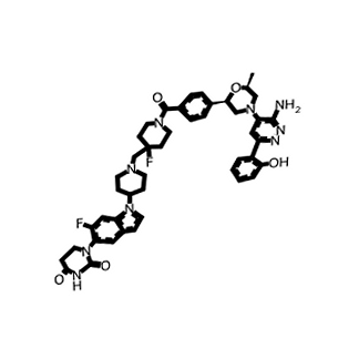 C[C@H]1CN(c2cc(-c3ccccc3O)nnc2N)C[C@@H](c2ccc(C(=O)N3CCC(F)(CN4CCC(n5ccc6cc(N7CCC(=O)NC7=O)c(F)cc65)CC4)CC3)cc2)O1